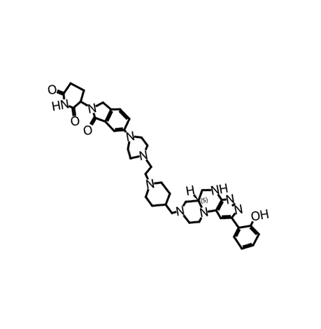 O=C1CCC(N2Cc3ccc(N4CCN(CCN5CCC(CN6CCN7c8cc(-c9ccccc9O)nnc8NC[C@H]7C6)CC5)CC4)cc3C2=O)C(=O)N1